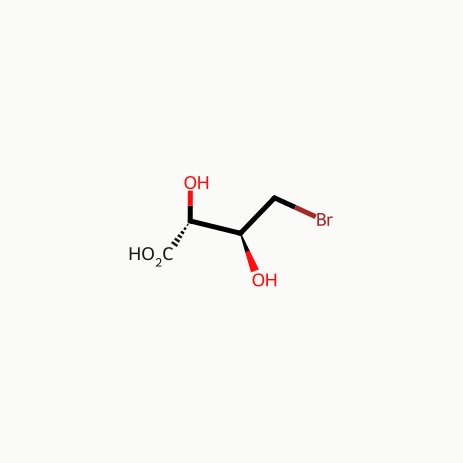 O=C(O)[C@H](O)[C@H](O)CBr